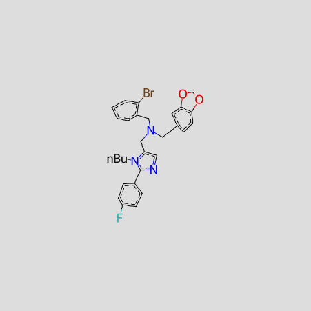 CCCCn1c(CN(Cc2ccc3c(c2)OCO3)Cc2ccccc2Br)cnc1-c1ccc(F)cc1